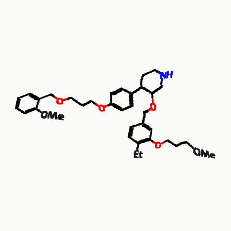 CCc1ccc(COC2CNCCC2c2ccc(OCCCOCc3ccccc3OC)cc2)cc1OCCCOC